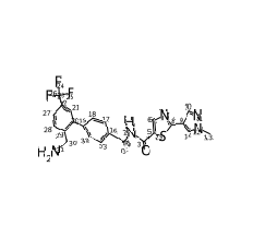 C[C@@H](NC(=O)c1cnc(-c2cnn(C)c2)s1)c1ccc(-c2cc(C(F)(F)F)ccc2CN)cc1